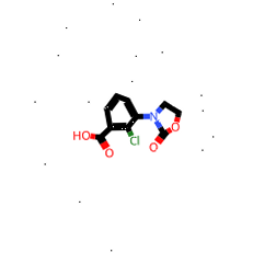 O=C(O)c1cccc(N2CCOC2=O)c1Cl